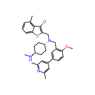 CN[C@H]1CC[C@H](N(Cc2cc(-c3cc(C)nc(C)c3)ccc2OC)Cc2sc3cccc(C)c3c2Cl)CC1